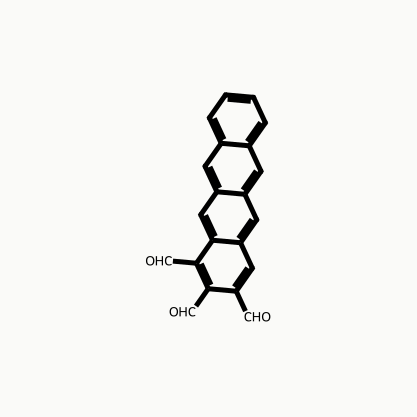 O=Cc1cc2cc3cc4ccccc4cc3cc2c(C=O)c1C=O